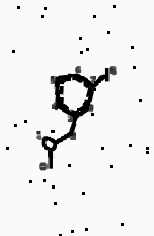 IOCc1cccc(I)c1